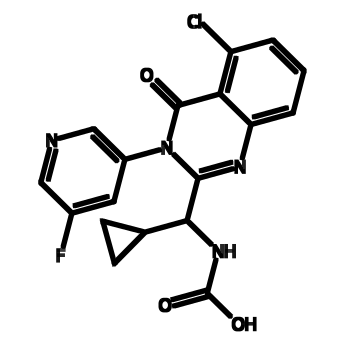 O=C(O)NC(c1nc2cccc(Cl)c2c(=O)n1-c1cncc(F)c1)C1CC1